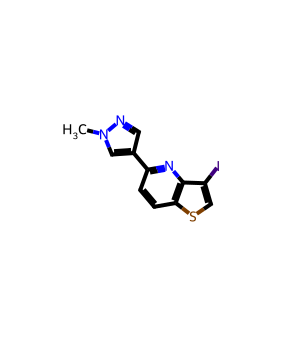 Cn1cc(-c2ccc3scc(I)c3n2)cn1